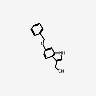 N#CCc1c[nH]c2cc(OCc3ccccc3)ccc12